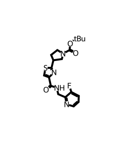 CC(C)(C)OC(=O)N1CCC(c2nc(C(=O)NCc3ncccc3F)cs2)C1